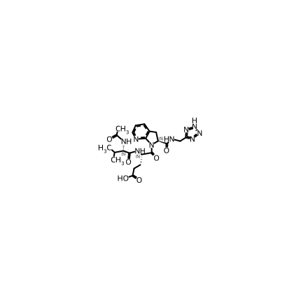 CC(=O)N[C@H](C(=O)N[C@@H](CCC(=O)O)C(=O)N1c2ncccc2C[C@H]1C(=O)NCc1nn[nH]n1)C(C)C